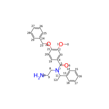 COc1cc(C(=O)N(CCN)C(C)c2ccccc2)ccc1OCc1ccccc1